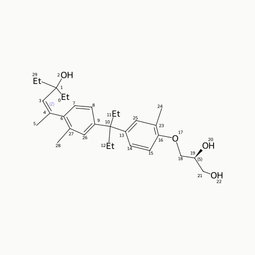 CCC(O)(/C=C(/C)c1ccc(C(CC)(CC)c2ccc(OC[C@@H](O)CO)c(C)c2)cc1C)CC